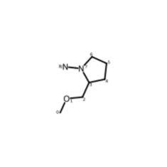 COCC1CCCN1[N]